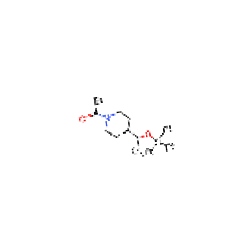 CCC(=O)N1CCC(C(O[Si](CC)(CC)CC)C(F)(F)F)CC1